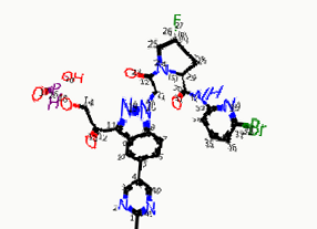 Cc1ncc(-c2ccc3c(c2)c(C(=O)CO[PH](=O)O)nn3CC(=O)N2C[C@H](F)C[C@H]2C(=O)Nc2cccc(Br)n2)cn1